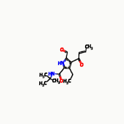 C/C=C/C(=O)c1c(C=O)[nH]c(C(=O)NC(C)(C)C)c1CC